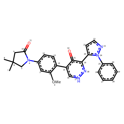 COc1cc(N2CC(C)(C)CC2=O)ccc1-c1c[nH]nc(-c2ccnn2-c2ccccc2)c1=O